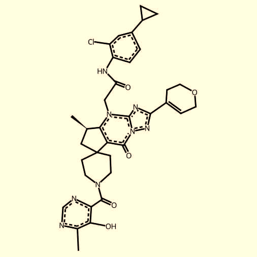 Cc1ncnc(C(=O)N2CCC3(CC2)C[C@@H](C)c2c3c(=O)n3nc(C4=CCOCC4)nc3n2CC(=O)Nc2ccc(C3CC3)cc2Cl)c1O